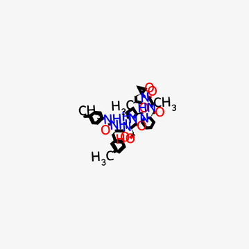 CCc1ccc(NC(=O)N[C@@H](Cc2cccc(C)c2)C(=O)N[C@@H](CO)C(=O)N2CCC[C@H]2C(=O)N2CCCC[C@H]2C(=O)N[C@@H](C)C(=O)N2C[C@H](C)C[C@@]23CC3=O)cc1